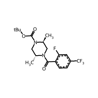 C[C@@H]1CN(C(=O)OC(C)(C)C)[C@@H](C)CN1C(=O)c1ccc(C(F)(F)F)cc1F